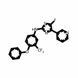 Fc1sc(Nc2ccc(Oc3ccccc3)c(C(F)(F)F)c2)nc1-c1cccnc1